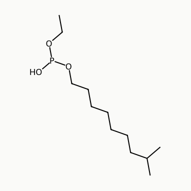 CCOP(O)OCCCCCCCC(C)C